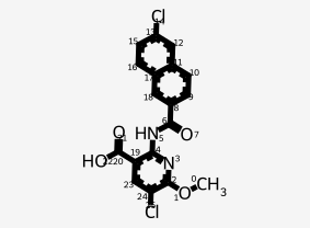 COc1nc(NC(=O)c2ccc3cc(Cl)ccc3c2)c(C(=O)O)cc1Cl